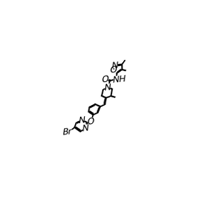 Cc1noc(NC(=O)N2CCC(=Cc3cccc(Oc4ncc(Br)cn4)c3)C(C)C2)c1C